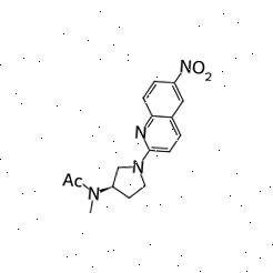 CC(=O)N(C)[C@@H]1CCN(c2ccc3cc([N+](=O)[O-])ccc3n2)C1